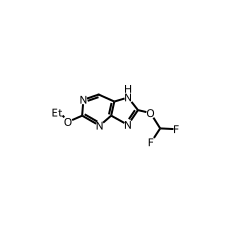 CCOc1ncc2[nH]c(OC(F)F)nc2n1